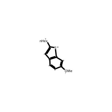 CCCCCCc1cc2ccc(OC)cc2s1